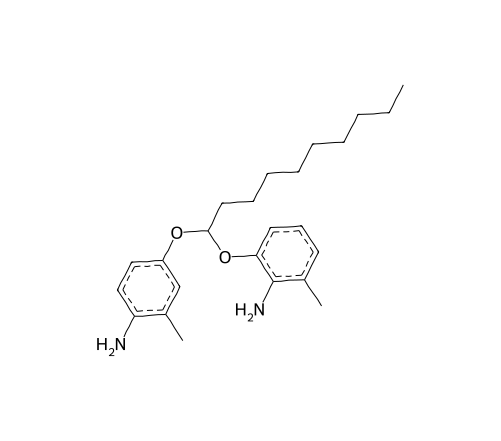 CCCCCCCCCC(Oc1ccc(N)c(C)c1)Oc1cccc(C)c1N